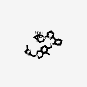 Cc1csc(CN2CCc3c(ccc(COc4ccccc4-c4cccc(N5CC[C@@]6(C(=O)O)C[C@H]6C5)n4)c3C)C2)n1